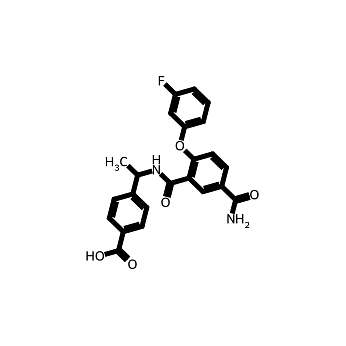 CC(NC(=O)c1cc(C(N)=O)ccc1Oc1cccc(F)c1)c1ccc(C(=O)O)cc1